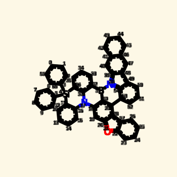 c1ccc([Si]2(c3ccccc3)c3ccccc3N3c4cc5oc6ccccc6c5c5c4B(c4cccc2c43)n2c3cc4ccccc4cc3c3cccc-5c32)cc1